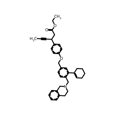 CC#CC(CC(=O)OCC)c1ccc(OCc2ccc(CN3CCc4ccccc4C3)c(C3=CCCCC3)c2)cc1